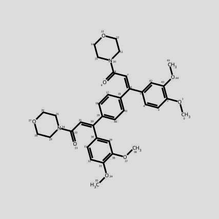 COc1ccc(C(=CC(=O)N2CCOCC2)c2ccc(C(=CC(=O)N3CCOCC3)c3ccc(OC)c(OC)c3)cc2)cc1OC